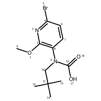 COc1nc(Br)ccc1N(CC(C)(C)C)C(=O)O